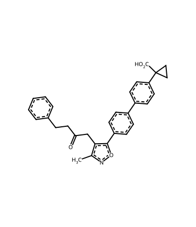 Cc1noc(-c2ccc(-c3ccc(C4(C(=O)O)CC4)cc3)cc2)c1CC(=O)CCc1ccccc1